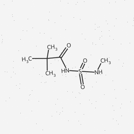 CNS(=O)(=O)NC(=O)C(C)(C)C